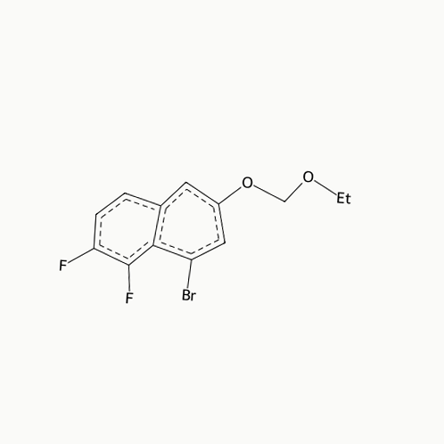 CCOCOc1cc(Br)c2c(F)c(F)ccc2c1